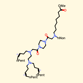 CCCCC/C=C\CCN(CC/C=C\CCCCC)CCN(CC/C=C\CCCCC)CC(=O)N1CCN(C(=O)CN(CCCCCCCCC)CCCCCCCC(=O)OC)CC1